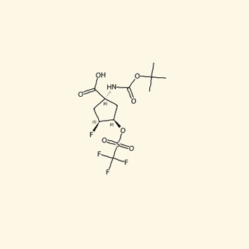 CC(C)(C)OC(=O)N[C@@]1(C(=O)O)C[C@H](F)[C@H](OS(=O)(=O)C(F)(F)F)C1